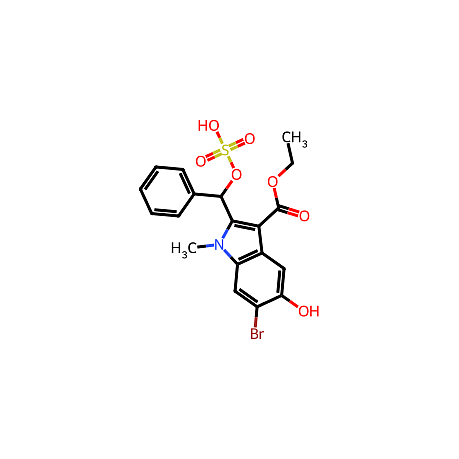 CCOC(=O)c1c(C(OS(=O)(=O)O)c2ccccc2)n(C)c2cc(Br)c(O)cc12